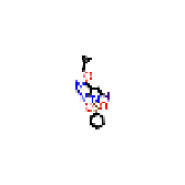 O=S(=O)(c1ccccc1)n1c(I)cc2c(OCC3CC3)ncnc21